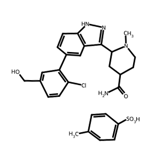 CN1CCC(C(N)=O)CC1c1n[nH]c2ccc(-c3cc(CO)ccc3Cl)cc12.Cc1ccc(S(=O)(=O)O)cc1